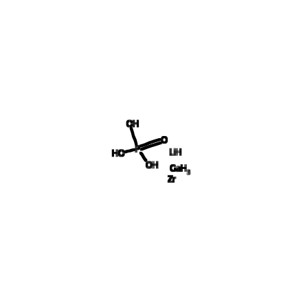 O=P(O)(O)O.[GaH3].[LiH].[Zr]